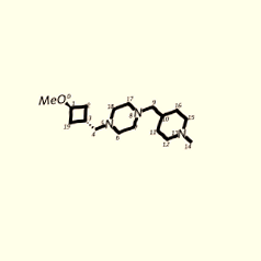 CO[C@H]1C[C@H](CN2CCN(CC3CCN(C)CC3)CC2)C1